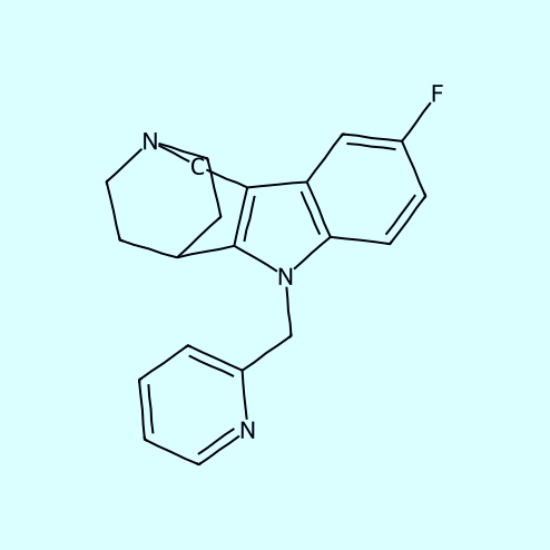 Fc1ccc2c(c1)c1c(n2Cc2ccccn2)C2CCN(CC2)C1